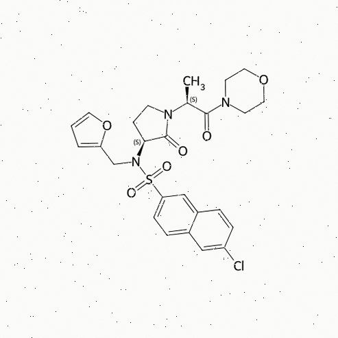 C[C@@H](C(=O)N1CCOCC1)N1CC[C@H](N(Cc2ccco2)S(=O)(=O)c2ccc3cc(Cl)ccc3c2)C1=O